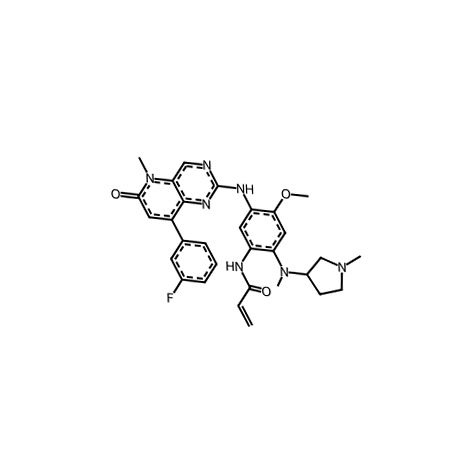 C=CC(=O)Nc1cc(Nc2ncc3c(n2)c(-c2cccc(F)c2)cc(=O)n3C)c(OC)cc1N(C)C1CCN(C)C1